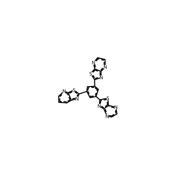 c1cnc2sc(-c3cc(-c4nc5nccnc5s4)cc(-c4nc5nccnc5s4)c3)nc2c1